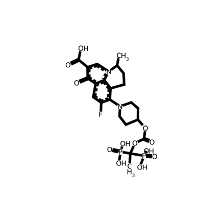 CC1CCc2c(N3CCC(OC(=O)OC(C)(P(=O)(O)O)P(=O)(O)O)CC3)c(F)cc3c(=O)c(C(=O)O)cn1c23